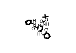 COc1ccccc1Nc1cc(NC(=O)OC(C)(C)C)nc(C(=O)Nc2ccccc2)n1